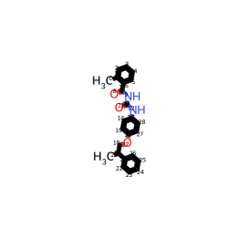 Cc1ccccc1C(=O)NC(=O)Nc1ccc(OCC(C)c2ccccc2)cc1